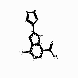 NC(=O)c1cnc(N)c2cc(C3=C=CC=C3)sc12